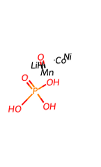 O=P(O)(O)O.[Co].[LiH].[Ni].[O]=[Mn]